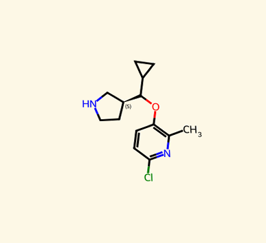 Cc1nc(Cl)ccc1OC(C1CC1)[C@H]1CCNC1